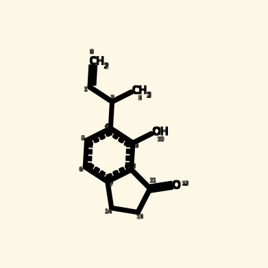 C=CC(C)c1ccc2c(c1O)C(=O)CC2